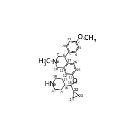 COc1ccc(C2CN(C)Cc3cc(OC(C4CCNCC4)C4CC4)ccc32)cc1